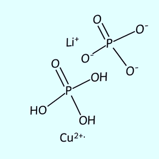 O=P(O)(O)O.O=P([O-])([O-])[O-].[Cu+2].[Li+]